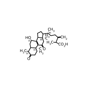 C=C(CC[C@@H](C)C1CCC2C3=C(C(=O)C[C@@]21C)[C@@]1(C)CCC(=O)[C@@H](C)C1C[C@@H]3O)C(C)C(=O)O